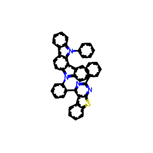 c1ccc(-c2nc(-c3ccccc3-n3c4ccccc4c4c3ccc3c5ccccc5n(-c5ccccc5)c34)c3c(n2)sc2ccccc23)cc1